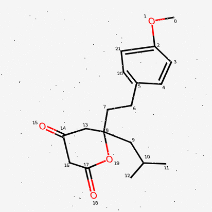 COc1ccc(CCC2(CC(C)C)CC(=O)CC(=O)O2)cc1